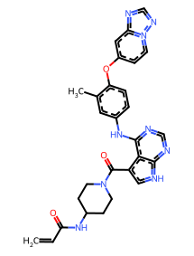 C=CC(=O)NC1CCN(C(=O)c2c[nH]c3ncnc(Nc4ccc(Oc5ccn6ncnc6c5)c(C)c4)c23)CC1